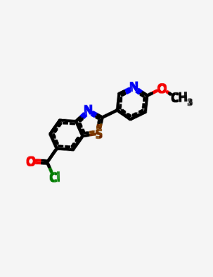 COc1ccc(-c2nc3ccc(C(=O)Cl)cc3s2)cn1